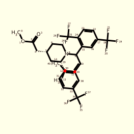 COC(=O)C[C@@H]1CCN(C(/C=C\C(C)C)c2cc(C(F)(F)F)ccc2C(F)(F)F)[C@H](c2ccc(C(F)(F)F)cc2)C1